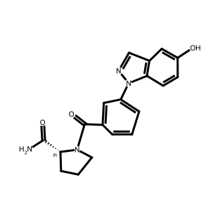 NC(=O)[C@H]1CCCN1C(=O)c1cccc(-n2ncc3cc(O)ccc32)c1